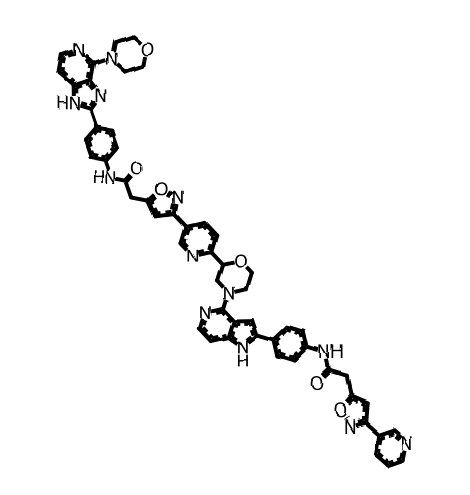 O=C(Cc1cc(-c2cccnc2)no1)Nc1ccc(-c2cc3c(N4CCOC(c5ccc(-c6cc(CC(=O)Nc7ccc(-c8nc9c(N%10CCOCC%10)nccc9[nH]8)cc7)on6)cn5)C4)nccc3[nH]2)cc1